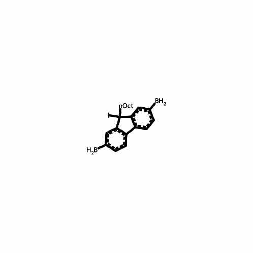 Bc1ccc2c(c1)C(I)(CCCCCCCC)c1cc(B)ccc1-2